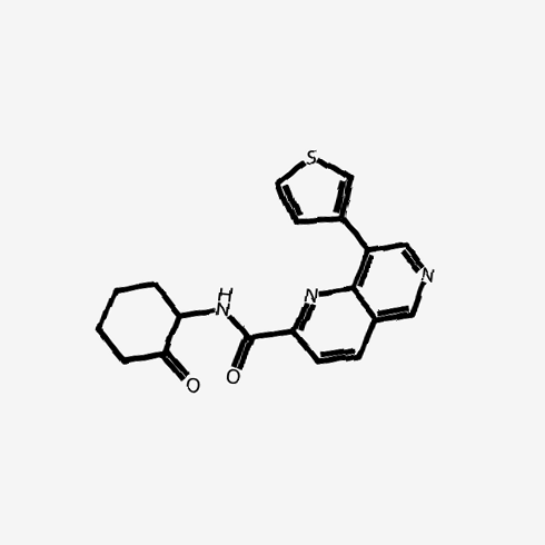 O=C(NC1CCCCC1=O)c1ccc2cncc(-c3ccsc3)c2n1